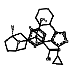 Cc1cc(C(=O)O)nc(N2C3CC[C@H]2CC(OCc2c(C4CCCCC4C(F)(F)F)noc2C2CC2)C3)n1